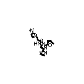 Cc1ccc(-c2nc(NC(=O)CCN3CC[C@H](N(C)C)C3)cc(-c3nccs3)n2)o1